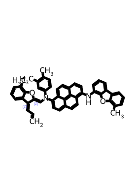 C=C/C=c1\c(=C\N(c2ccc(C)c(C)c2)c2ccc3ccc4c(Nc5cccc6c5oc5c(C)cccc56)ccc5ccc2c3c54)oc2c(C)cccc12